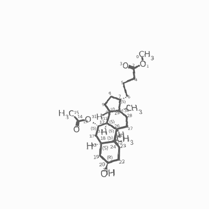 COC(=O)CCC[C@H]1CC[C@H]2[C@@H]3[C@@H](OC(C)=O)C[C@@H]4C[C@H](O)CC[C@]4(C)[C@H]3CC[C@]12C